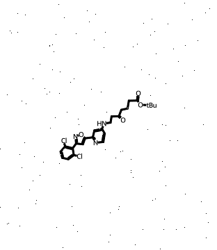 CC(C)(C)OC(=O)CCCC(=O)CCNc1ccnc(-c2cc(-c3c(Cl)cccc3Cl)no2)c1